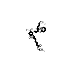 CCCCC(C)(C)[C@@H](C=C[C@@H]1[C@@H](CC=CCCCC(=O)OC)[C@@H](O)C[C@H]1O)OC1CCCCO1